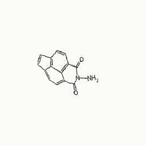 NN1C(=O)c2ccc3c4c(ccc(c24)C1=O)C=C3